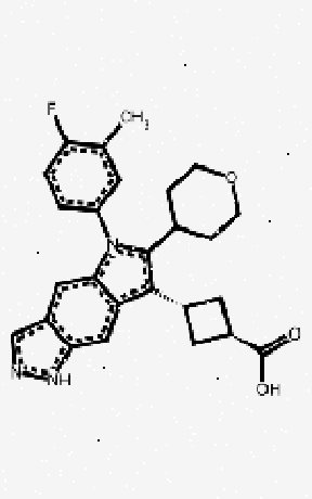 Cc1cc(-n2c(C3CCOCC3)c([C@H]3C[C@H](C(=O)O)C3)c3cc4[nH]ncc4cc32)ccc1F